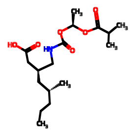 CCC[C@@H](C)C[C@H](CNC(=O)O[C@@H](C)OC(=O)C(C)C)CC(=O)O